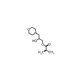 C=C(C)C(=O)OCC(O)CN1CCOCC1